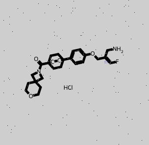 Cl.NC/C(=C\F)COc1ccc(C23CCC(C(=O)N4CC5(CCOCC5)C4)(CC2)CC3)cc1